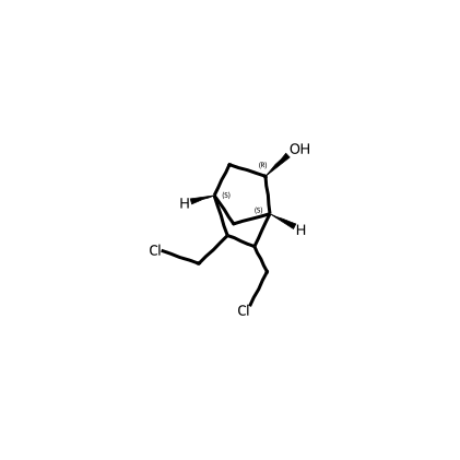 O[C@@H]1C[C@@H]2C[C@H]1C(CCl)C2CCl